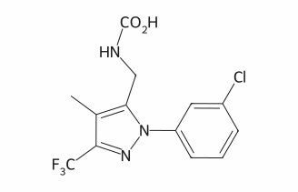 Cc1c(C(F)(F)F)nn(-c2cccc(Cl)c2)c1CNC(=O)O